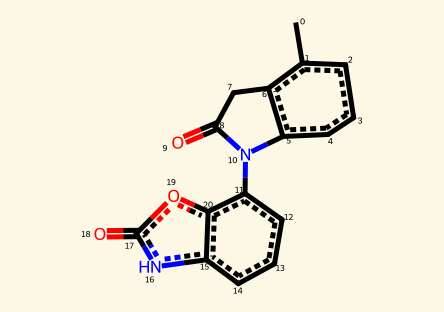 Cc1cccc2c1CC(=O)N2c1cccc2[nH]c(=O)oc12